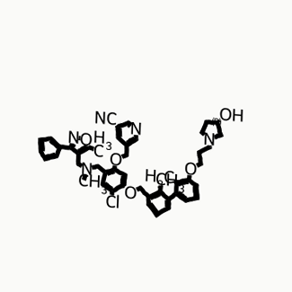 Cc1onc(-c2ccccc2)c1CN(C)Cc1cc(Cl)c(OCc2cccc(-c3cccc(OCCCN4CC[C@@H](O)C4)c3C)c2C)cc1OCc1cncc(C#N)c1